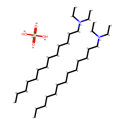 CCCCCCCCCCCCCN(CC)CC.CCCCCCCCCCCCCN(CC)CC.O=S(=O)(O)O